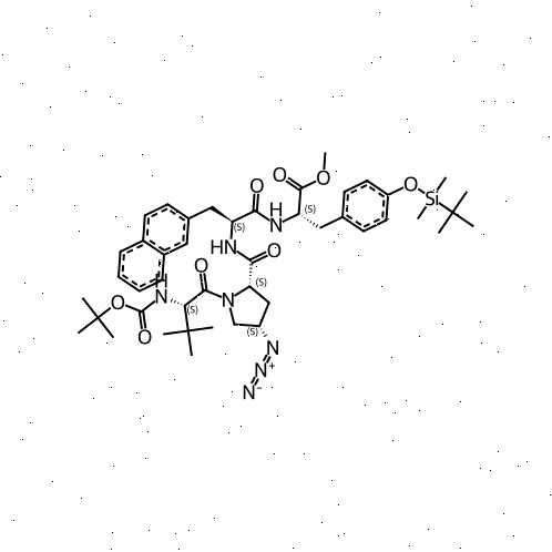 COC(=O)[C@H](Cc1ccc(O[Si](C)(C)C(C)(C)C)cc1)NC(=O)[C@H](Cc1ccc2ccccc2c1)NC(=O)[C@@H]1C[C@H](N=[N+]=[N-])CN1C(=O)[C@@H](NC(=O)OC(C)(C)C)C(C)(C)C